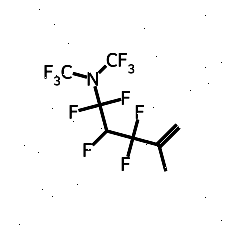 C=C(C)C(F)(F)C(F)C(F)(F)N(C(F)(F)F)C(F)(F)F